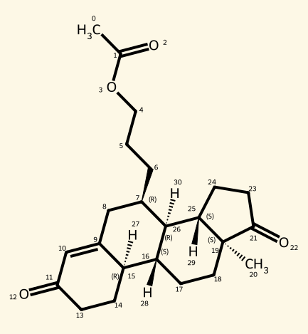 CC(=O)OCCC[C@@H]1CC2=CC(=O)CC[C@@H]2[C@H]2CC[C@]3(C)C(=O)CC[C@H]3[C@H]12